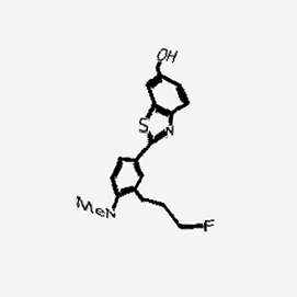 CNc1ccc(-c2nc3ccc(O)cc3s2)cc1CCCF